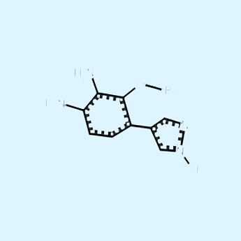 CCC(C)Oc1c(-c2cnn(CC)c2)ccc(N)c1N